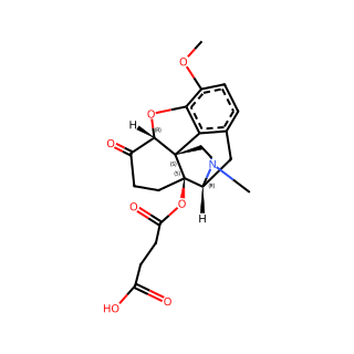 COc1ccc2c3c1O[C@H]1C(=O)CC[C@@]4(OC(=O)CCC(=O)O)[C@@H](C2)N(C)CC[C@]314